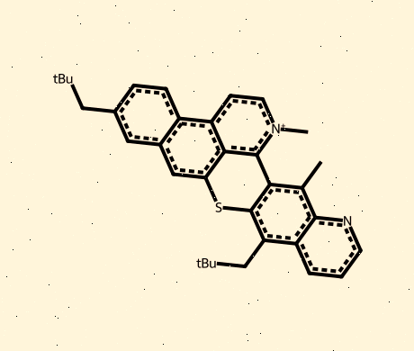 Cc1c2c(c(CC(C)(C)C)c3cccnc13)Sc1cc3cc(CC(C)(C)C)ccc3c3cc[n+](C)c-2c13